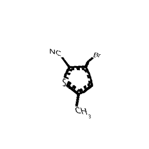 Cc1cc(Br)c(C#N)s1